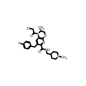 C[C@H]1COc2nc(C(=O)NCC3CCN(C)CC3)c(Cc3ccc(F)cc3)cc2N1C(=O)CCl